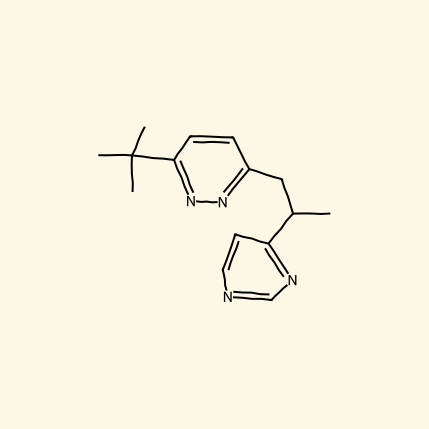 CC(Cc1ccc(C(C)(C)C)nn1)c1ccncn1